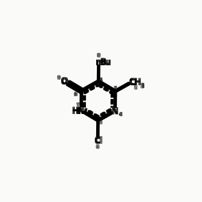 CCCCc1c(C)nc(Cl)[nH]c1=O